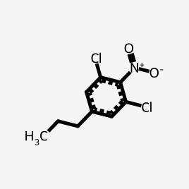 CCCc1cc(Cl)c([N+](=O)[O-])c(Cl)c1